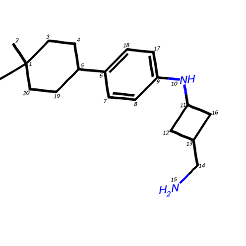 CC1(C)CCC(c2ccc(NC3CC(CN)C3)cc2)CC1